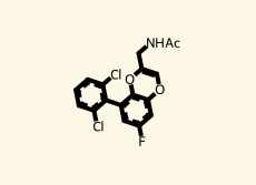 CC(=O)NCC1=COc2cc(F)cc(-c3c(Cl)cccc3Cl)c2O1